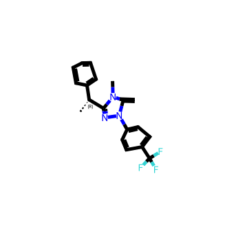 C=C1N(C)C([C@H](C)c2ccccc2)=NN1c1ccc(C(F)(F)F)cc1